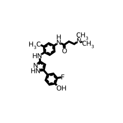 Cc1cc(NC(=O)CCN(C)C)ccc1Nc1cc(-c2ccc(O)c(F)c2)[nH]n1